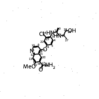 C=C(Nc1ccc(Oc2ccnc3cc(OC)c(C(N)=O)cc23)cc1Cl)N[C@H](C)CO